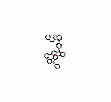 c1ccc(-c2ccc(N(c3ccc(-c4cccc5oc6c7ccccc7ccc6c45)cc3)c3ccccc3-c3ccc4c5ccccc5n(-c5ccccc5)c4c3)cc2)cc1